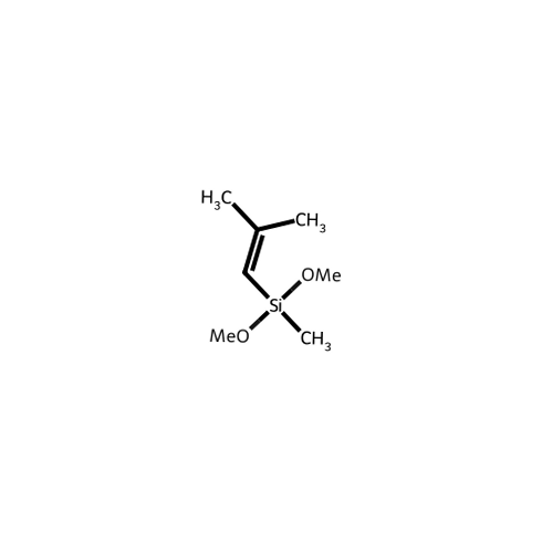 CO[Si](C)(C=C(C)C)OC